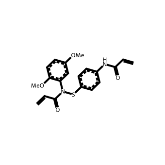 C=CC(=O)Nc1ccc(SN(C(=O)C=C)c2cc(OC)ccc2OC)cc1